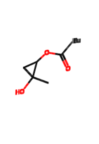 CCC(C)C(=O)OC1CC1(C)O